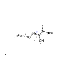 [CH2]CCCCO/N=[N+](\O)N(C)C(C)(C)C